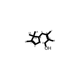 CC1=CCC(CC(C)=C(C)CO)C1(C)C